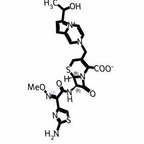 CO/N=C(\C(=O)N[C@@H]1C(=O)N2C(C(=O)[O-])=C(Cn3cc[n+]4c(C(C)O)ccc-4c3)CS[C@H]12)c1csc(N)n1